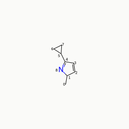 CC1C=CC(C2CC2)=N1